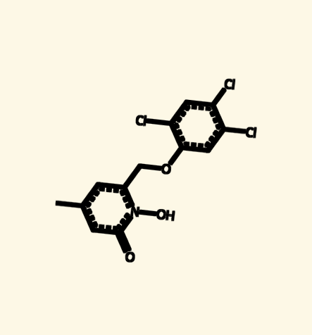 Cc1cc(COc2cc(Cl)c(Cl)cc2Cl)n(O)c(=O)c1